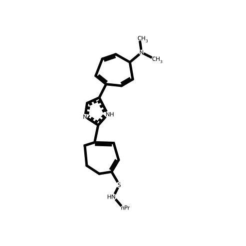 CCCNSC1=CC=C(c2ncc(C3=CC=CC(N(C)C)C=C3)[nH]2)CCC1